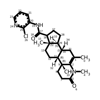 CC1=C2N(C)C(=O)CC[C@]2(C)[C@@H]2CC[C@]3(C)C(C(=O)Nc4cccnc4Cl)CC[C@H]3[C@@H]2C1